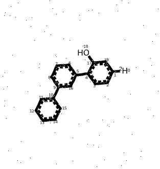 [2H]c1ccc(-c2cccc(-c3ccccc3)c2)c(O)c1